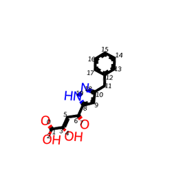 O=C(O)C(O)=CC(=O)c1cc(Cc2ccccc2)n[nH]1